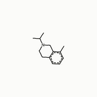 Cc1cccc2c1CN(C(C)C)CC2